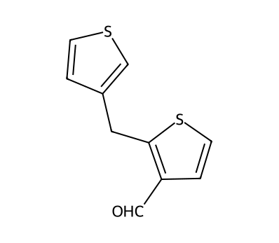 O=Cc1ccsc1Cc1ccsc1